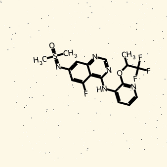 CC(Oc1ncccc1Nc1ncnc2cc(N=S(C)(C)=O)cc(F)c12)C(F)(F)F